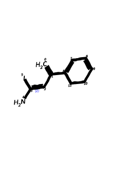 C=C(/C=C(/N)I)C1=CC=CCC1